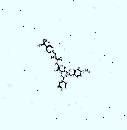 N=C(N)c1ccc(CNC(=O)CNC(=O)[C@@H](CCc2ccccc2)NS(=O)(=O)Cc2ccc(N)cc2)cc1